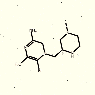 CN1CCN[C@@H](CN2CC(N)=NC(C(F)(F)F)=C2Br)C1